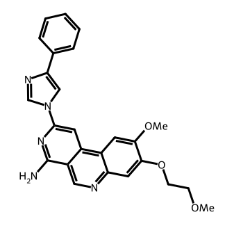 COCCOc1cc2ncc3c(N)nc(-n4cnc(-c5ccccc5)c4)cc3c2cc1OC